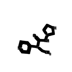 CCN(C(=O)NN1CCNC1)c1ccncc1